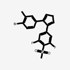 Cc1cc(C2=CCC=C2c2cc(F)c(S(C)(=O)=O)c(F)c2)ccc1Br